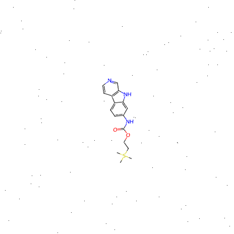 CS(C)(C)CCOC(=O)Nc1ccc2c(c1)[nH]c1cnccc12